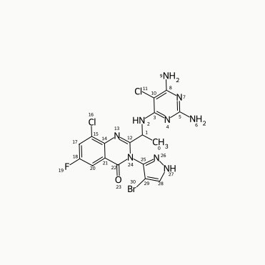 CC(Nc1nc(N)nc(N)c1Cl)c1nc2c(Cl)cc(F)cc2c(=O)n1-c1n[nH]cc1Br